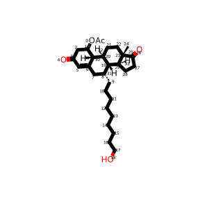 CC(=O)OC1CC(=O)C=C2C[C@@H](CCCCCCCCCO)[C@@H]3[C@H](CC[C@]4(C)C(=O)CC[C@@H]34)[C@H]21